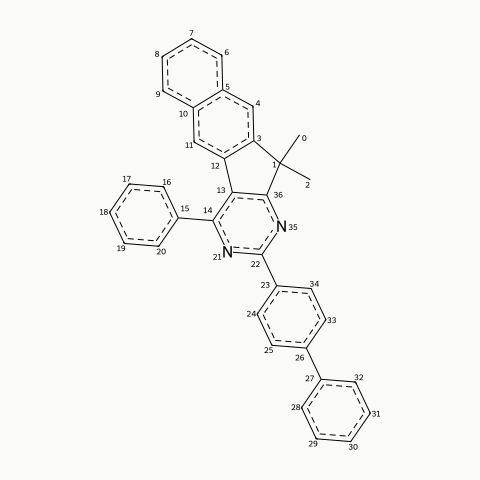 CC1(C)c2cc3ccccc3cc2-c2c(-c3ccccc3)nc(-c3ccc(-c4ccccc4)cc3)nc21